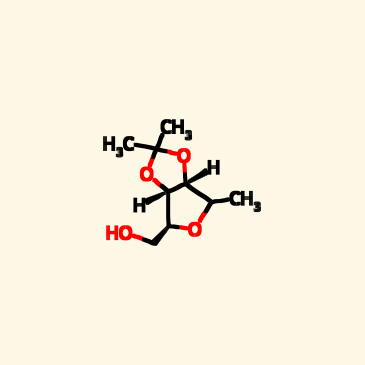 CC1O[C@@H](CO)[C@@H]2OC(C)(C)O[C@H]12